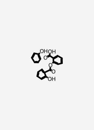 O=C(Oc1ccccc1C(=O)O)c1ccccc1O.Oc1ccccc1